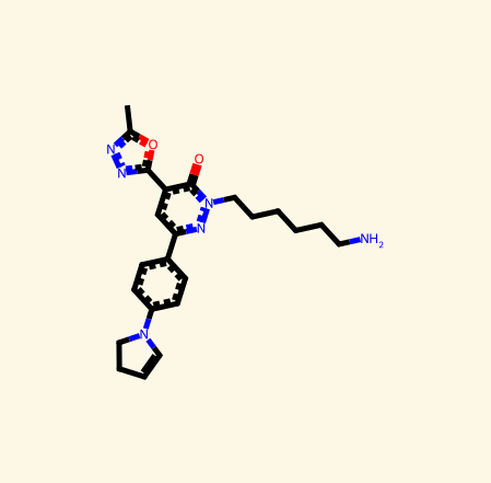 Cc1nnc(-c2cc(-c3ccc(N4C=CCC4)cc3)nn(CCCCCCN)c2=O)o1